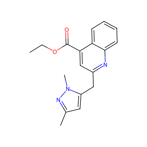 CCOC(=O)c1cc(Cc2cc(C)nn2C)nc2ccccc12